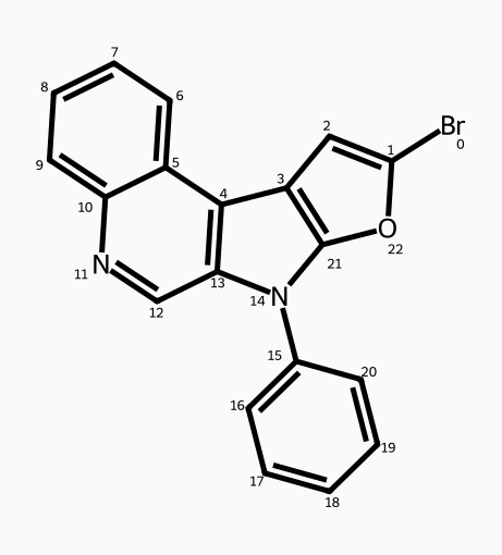 Brc1cc2c3c4ccccc4ncc3n(-c3ccccc3)c2o1